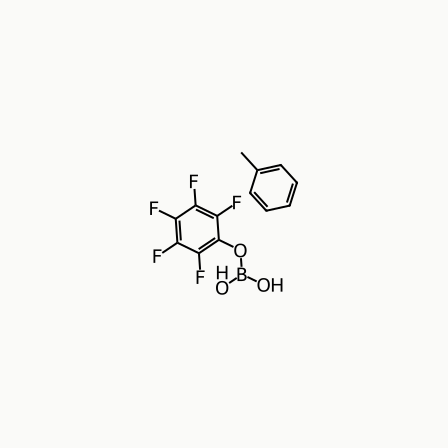 Cc1ccccc1.OB(O)Oc1c(F)c(F)c(F)c(F)c1F